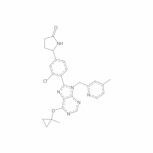 Cc1ccnc(Cn2c(-c3ccc(C4CCC(=O)N4)cc3Cl)nc3c(OC4(C)CC4)ncnc32)c1